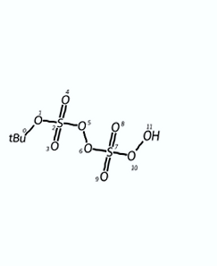 CC(C)(C)OS(=O)(=O)OOS(=O)(=O)OO